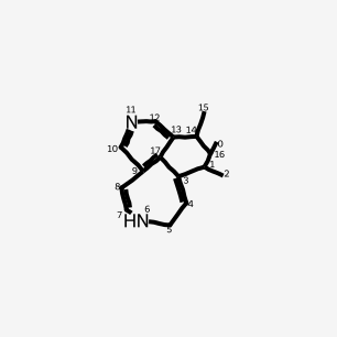 CC(C)/C1=C/CN/C=C\c2cncc(C(C)C)c21